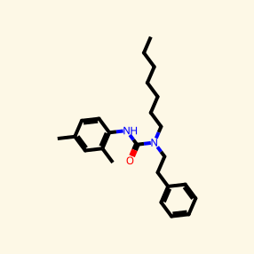 CCCCCCCN(CCc1ccccc1)C(=O)Nc1ccc(C)cc1C